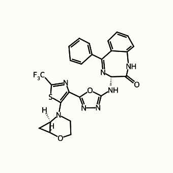 O=C1Nc2ccccc2C(c2ccccc2)=N[C@H]1Nc1nnc(-c2nc(C(F)(F)F)sc2N2CCO[C@H]3C[C@H]32)o1